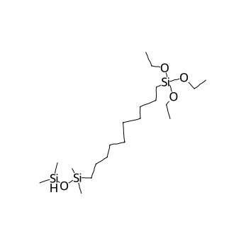 CCO[Si](CCCCCCCCCC[Si](C)(C)O[SiH](C)C)(OCC)OCC